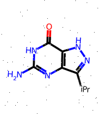 CC(C)c1n[nH]c2c(=O)[nH]c(N)nc12